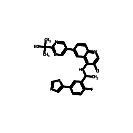 CC(Nc1c(Cl)cnc2ccc(-c3cnc(C(C)(C)O)nc3)cc12)c1cc(-c2cncs2)ccc1F